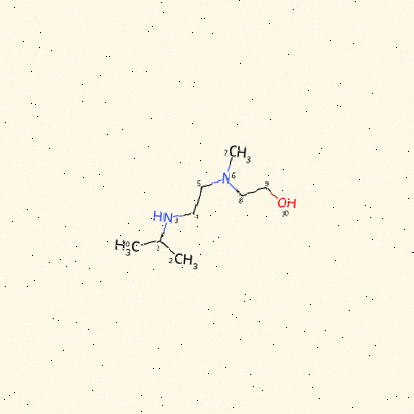 CC(C)NCCN(C)CCO